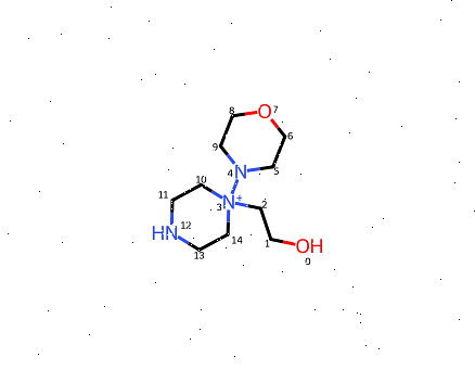 OCC[N+]1(N2CCOCC2)CCNCC1